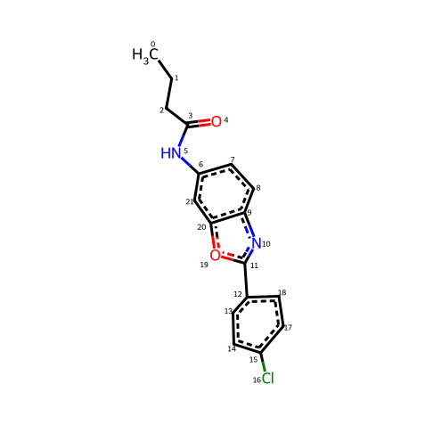 CCCC(=O)Nc1ccc2nc(-c3ccc(Cl)cc3)oc2c1